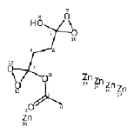 CC(=O)OC1(CCC2(O)OO2)OO1.[Zn].[Zn].[Zn].[Zn].[Zn]